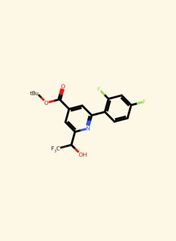 CC(C)(C)OC(=O)c1cc(-c2ccc(F)cc2F)nc(C(O)C(F)(F)F)c1